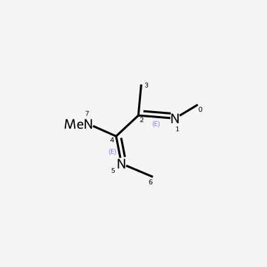 C/N=C(C)/C(=N\C)NC